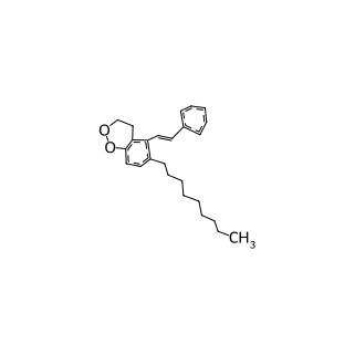 CCCCCCCCCc1ccc2c(c1C=Cc1ccccc1)CCOO2